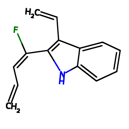 C=C/C=C(/F)c1[nH]c2ccccc2c1C=C